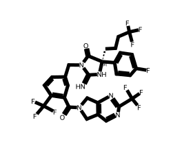 N=C1N[C@](CCCC(F)(F)F)(c2ccc(F)cc2)C(=O)N1Cc1ccc(C(F)(F)F)c(C(=O)N2Cc3cnc(C(F)(F)F)nc3C2)c1